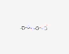 O=C(O)[C@H]1CCCN(CC(O)c2ccc(-c3noc(-c4cc(-c5ccc(Cl)cc5)n[nH]4)n3)cc2)C1